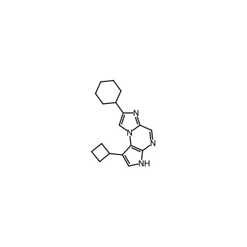 c1[nH]c2ncc3nc(C4CCCCC4)cn3c2c1C1CCC1